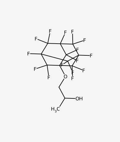 CC(O)COC12C(F)(F)C3(F)C(F)(F)C(F)(C(F)(F)C(F)(C3(F)F)C1(F)F)C2(F)F